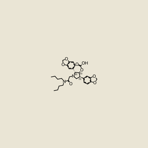 CCCCN(CCCC)C(=O)CN1C[C@H](c2ccc3c(c2)OCO3)[C@H](OC(=O)O)[C@H]1c1ccc2c(c1)OCO2